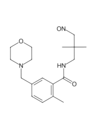 Cc1ccc(CN2CCOCC2)cc1C(=O)NCC(C)(C)CN=O